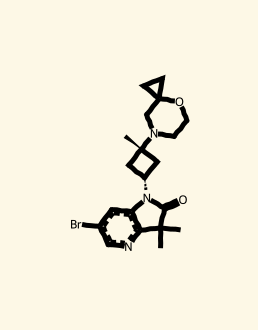 CC1(C)C(=O)N([C@H]2C[C@@](C)(N3CCOC4(CC4)C3)C2)c2cc(Br)cnc21